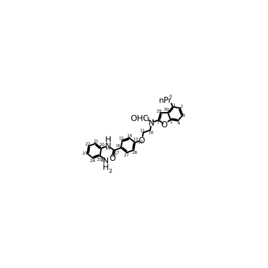 CCCc1cccc2oc(N(C=O)CCOc3ccc(C(=O)Nc4ccccc4N)cc3)cc12